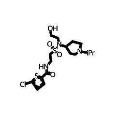 CC(C)N1CCC(N(CCO)S(=O)(=O)CCNC(=O)c2ccc(Cl)s2)CC1